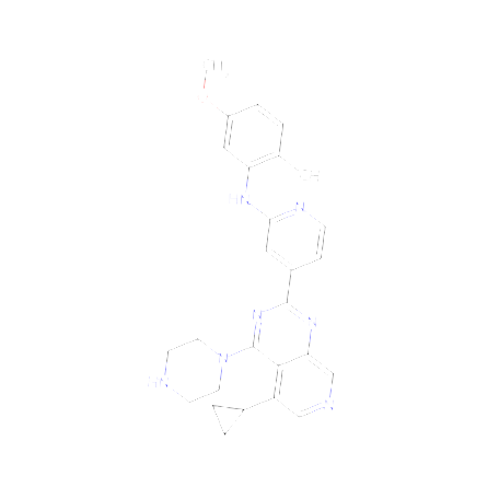 COc1ccc(C)c(Nc2cc(-c3nc(N4CCNCC4)c4c(C5CC5)cncc4n3)ccn2)c1